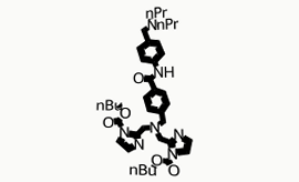 CCCCOC(=O)n1ccnc1CN(Cc1ccc(C(=O)Nc2ccc(CN(CCC)CCC)cc2)cc1)Cc1nccn1C(=O)OCCCC